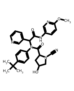 COc1ccc(NC(=O)C(c2cccnc2)N(C(=O)C2CC(O)CN2C#N)c2ccc(C(C)(C)C)cc2)cn1